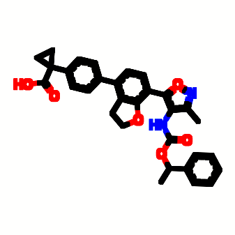 Cc1noc(-c2ccc(-c3ccc(C4(C(=O)O)CC4)cc3)c3c2OCC3)c1NC(=O)OC(C)c1ccccc1